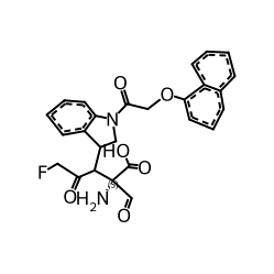 N[C@@](C=O)(C(=O)O)C(C(=O)CF)C1CN(C(=O)COc2cccc3ccccc23)c2ccccc21